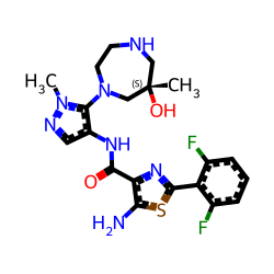 Cn1ncc(NC(=O)c2nc(-c3c(F)cccc3F)sc2N)c1N1CCNC[C@](C)(O)C1